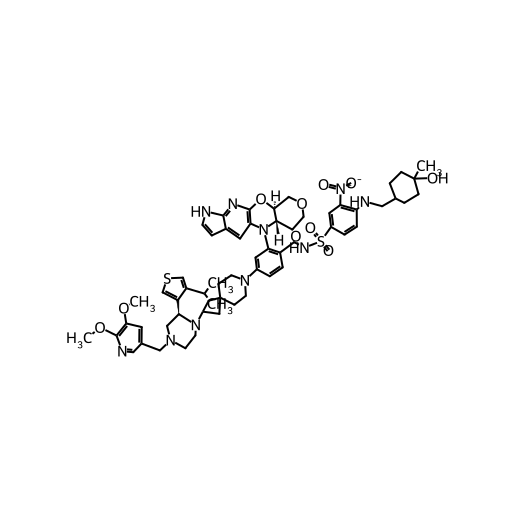 COc1cc(CN2CCN(C3CC4(CCN(c5ccc(C(=O)NS(=O)(=O)c6ccc(NCC7CCC(C)(O)CC7)c([N+](=O)[O-])c6)c(N6c7cc8cc[nH]c8nc7O[C@H]7COCC[C@@H]76)c5)CC4)C3)[C@H](c3cscc3C(C)C)C2)cnc1OC